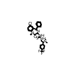 CN1C(=O)C(NC(=S)NCC(c2ccc(C(F)(F)F)cc2)N(C)C)N=C(c2ccccc2)c2cc(Cl)ccc21